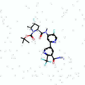 C[C@H]1[C@H](F)C[C@@H](C(=O)N(C)c2cc(-c3cnc(C(F)(F)F)c(C(N)=O)c3)ncc2F)N1C(=O)OC(C)(C)C